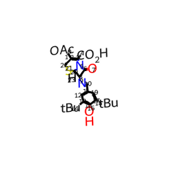 CC(=O)OCC1=C(C(=O)O)N2C(=O)[C@@H](/N=C/c3cc(C(C)(C)C)c(O)c(C(C)(C)C)c3)[C@H]2SC1